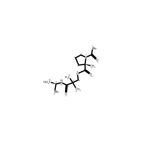 CC(C)(C)C(=O)N1CCC[C@@]1(C)C(=O)OCC(C)(C)C(=O)N[C@H](C(=O)O)C(C)(C)C